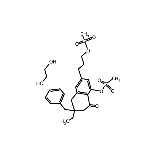 CCC1(Cc2ccccc2)CC(=O)c2c(cc(CCCOS(C)(=O)=O)cc2OS(C)(=O)=O)C1.OCCO